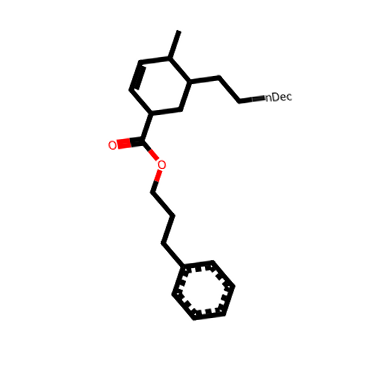 CCCCCCCCCCCCC1CC(C(=O)OCCCc2ccccc2)C=CC1C